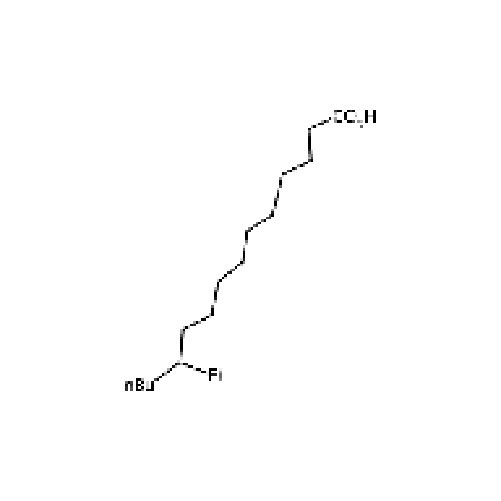 CCCCC(CC)CCCCCCCCCC(=O)O